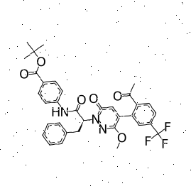 COc1nn([C@@H](Cc2ccccc2)C(=O)Nc2ccc(C(=O)OC(C)(C)C)cc2)c(=O)cc1-c1cc(C(F)(F)F)ccc1C(C)=O